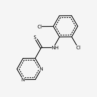 S=C(Nc1c(Cl)cccc1Cl)c1ccncn1